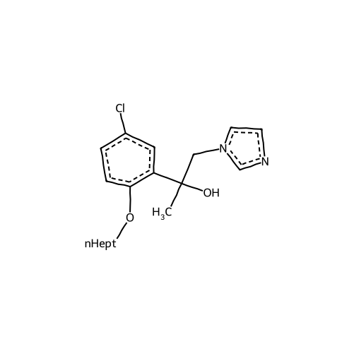 CCCCCCCOc1ccc(Cl)cc1C(C)(O)Cn1ccnc1